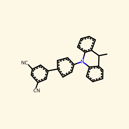 CC1c2ccccc2N(c2ccc(-c3cc(C#N)cc(C#N)c3)cc2)c2ccccc21